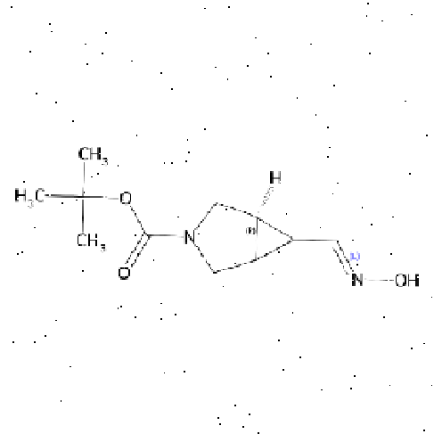 CC(C)(C)OC(=O)N1CC2C(/C=N/O)[C@@H]2C1